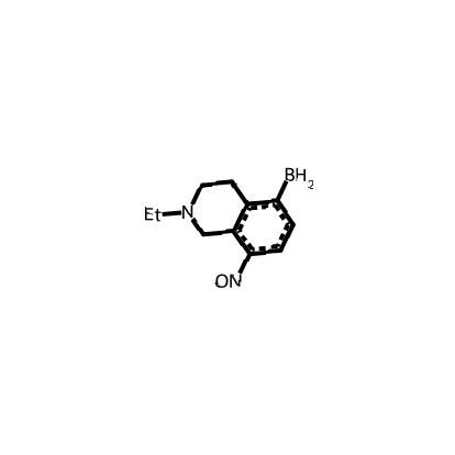 Bc1ccc(N=O)c2c1CCN(CC)C2